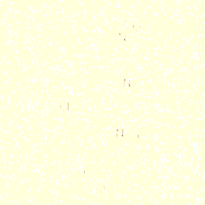 CC[C@@H](C)Oc1cc2c(cc1OC)CC(=O)N(c1ccc(N(C)CC3CCN(S(C)(=O)=O)CC3)cc1)C2c1ccc(Cl)cc1